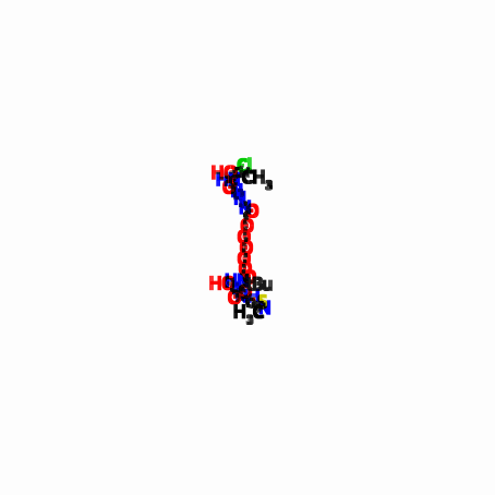 Cc1ncsc1-c1ccc(CNC(=O)[C@@H]2C[C@@H](O)CN2C(=O)[C@@H](NC(=O)COCCOCCOCCOCCOC/C=C/C(=O)N2CC(N3CCN(C(=O)CNc4cc(C5(C)CC5)c(Cl)cc4O)CC3)C2)C(C)(C)C)cc1